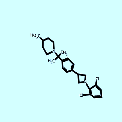 CC(C)(c1ccc(C2CN(c3c(Cl)cccc3Cl)C2)cc1)N1CCC(C(=O)O)CC1